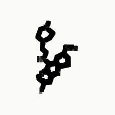 COc1ccc2nc3cc(F)ccc3c(NCCN3CCN(C)CC3)c2c1